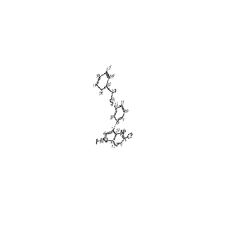 Clc1cnc2[nH]cc(-c3cccc(SCC4C=CC=CC4)c3)c2n1